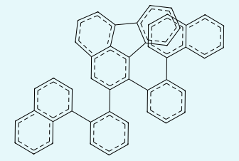 c1ccc(-c2cccc3ccccc23)c(-c2cc3cccc4c3c(c2-c2ccccc2-c2cccc3ccccc23)-c2ccccc2-4)c1